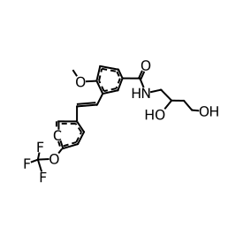 COc1ccc(C(=O)NCC(O)CCO)cc1/C=C/c1ccc(OC(F)(F)F)cc1